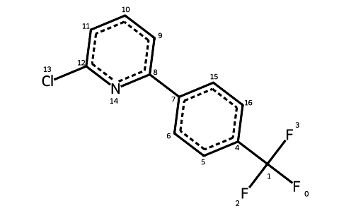 FC(F)(F)c1ccc(-c2cccc(Cl)n2)cc1